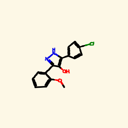 COc1ccccc1-c1n[nH]c(-c2ccc(Cl)cc2)c1O